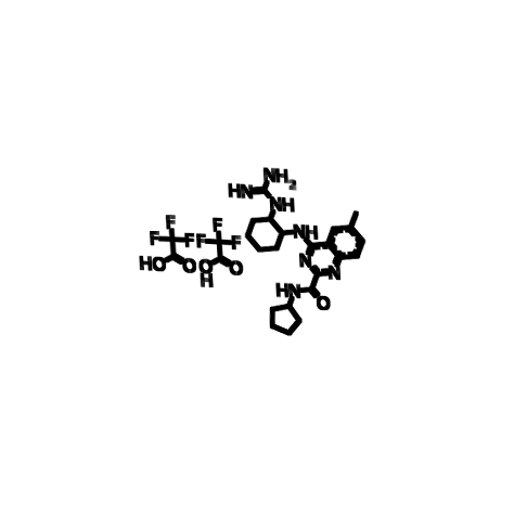 Cc1ccc2nc(C(=O)NC3CCCC3)nc(NC3CCCCC3NC(=N)N)c2c1.O=C(O)C(F)(F)F.O=C(O)C(F)(F)F